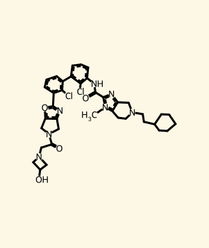 Cn1c(C(=O)Nc2cccc(-c3cccc(-c4nc5c(o4)CN(C(=O)CN4CC(O)C4)C5)c3Cl)c2Cl)nc2c1CCN(CCC1CCCCC1)C2